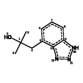 CC(C)(O)Cc1cccc2[nH]nnc12